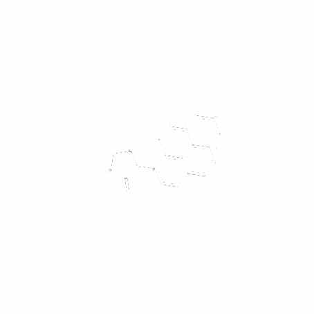 O=C1CC(S)C(=O)N1c1ccc2ccc3cccc4ccc1c2c34